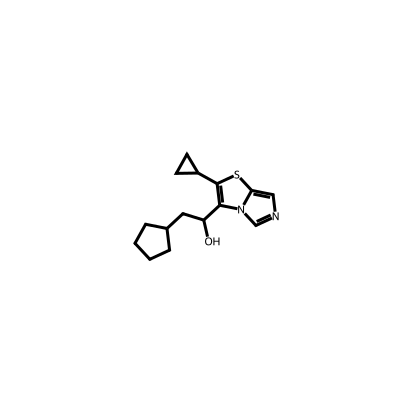 OC(CC1CCCC1)c1c(C2CC2)sc2cncn12